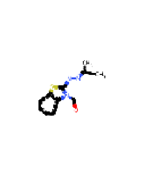 CC(C)=NN=c1sc2ccccc2n1C=O